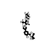 C#CC1(NC(=O)c2cc(-c3cnn(-c4c(C(F)(F)F)c(OS(=O)(=O)C(F)(F)C(F)(F)F)nn4C)c3)ccc2Cl)CC1